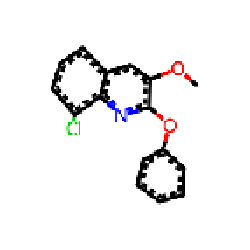 COc1cc2cccc(Cl)c2nc1Oc1ccccc1